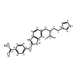 CN(C)C(CCn1ccnc1)Cc1ccc2nc(Oc3ccc(C(=O)O)cc3)sc2c1